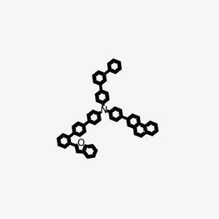 c1ccc(-c2cccc(-c3ccc(N(c4ccc(-c5ccc(-c6ccccc6-c6cc7ccccc7o6)cc5)cc4)c4ccc(-c5ccc6c(ccc7ccccc76)c5)cc4)cc3)c2)cc1